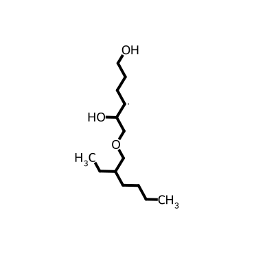 CCCCC(CC)COCC(O)[CH]CCCO